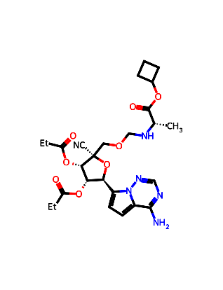 CCC(=O)O[C@H]1[C@H](c2ccc3c(N)ncnn23)O[C@](C#N)(COCN[C@@H](C)C(=O)OC2CCC2)[C@H]1OC(=O)CC